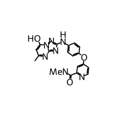 CNC(=O)c1cc(Oc2ccc(Nc3nc4nc(C)cc(O)n4n3)cc2)ccn1